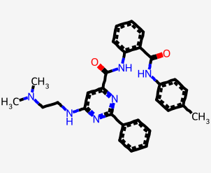 Cc1ccc(NC(=O)c2ccccc2NC(=O)c2cc(NCCN(C)C)nc(-c3ccccc3)n2)cc1